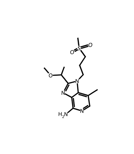 COC(C)c1nc2c(N)ncc(C)c2n1CCCS(C)(=O)=O